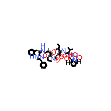 CC[C@H](C)[C@@H]([C@@H](CC(=O)N1CCC[C@H]1[C@H](OC)[C@@H](C)C(=O)N[C@@H](Cc1ccccc1)c1nc(-c2ccccc2)c[nH]1)OC)N(C)C(=O)[C@@H](NC(=O)[C@@H]1[C@H]2CC[C@H](C2)N1C(=O)O)C(C)C